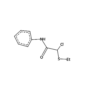 CCSC(Cl)C(=O)Nc1ccccc1